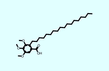 CCCCCCCCCCCCCCCCCCc1c(C(=O)O)cc(OC)c(OC)c1OC